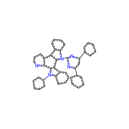 c1ccc(-c2cc(-c3ccccc3)nc(-n3c4ccccc4c4c5cccnc5c5c(c6ccccc6n5-c5ccccc5)c43)n2)cc1